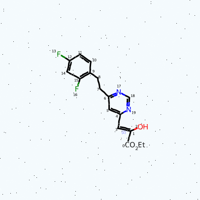 CCOC(=O)/C(O)=C/c1cc(CCc2ccc(F)cc2F)ncn1